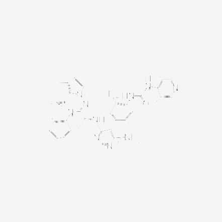 Cc1ccn2nc(C(C)Nc3ncnc(N)c3-c3ccc(NC(=O)Nc4ccncc4)c(F)c3)n(-c3ccccc3)c(=O)c12